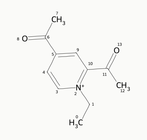 CC[n+]1ccc(C(C)=O)cc1C(C)=O